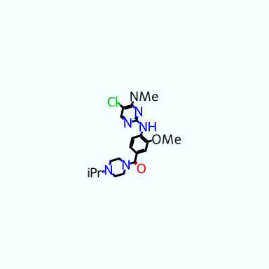 CNc1nc(Nc2ccc(C(=O)N3CCN(C(C)C)CC3)cc2OC)ncc1Cl